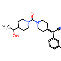 CC(O)C1CCN(C(=O)N2CCC(=C(C#N)c3cccc(Cl)c3)CC2)CC1